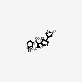 CCOC(=O)c1oc2ncc(-c3cnn(CC)c3)cc2c1N(C(=O)OCC)[C@H]1CCO[C@@H](CC)C1